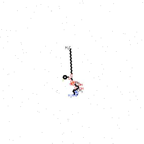 CCCCCCCCCCCCCCCCCCOC[C@H](COP(=O)(O)O[C@@H](C)[C@H]1O[C@@](C)(c2ccc3c(N)ncnn23)[C@H](O)[C@@H]1O)OCc1cccc(F)c1